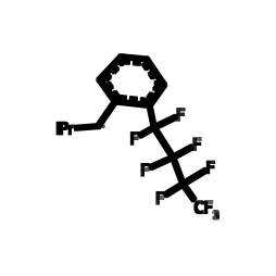 CC(C)[CH]c1ccccc1C(F)(F)C(F)(F)C(F)(F)C(F)(F)F